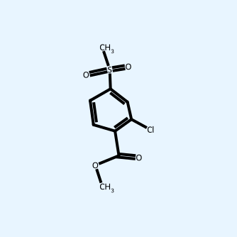 COC(=O)c1ccc(S(C)(=O)=O)cc1Cl